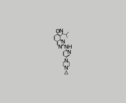 CC(C)c1noc2ccc3cnc(Nc4ccc(N5CCN(C6CC6)CC5)cn4)nc3c12